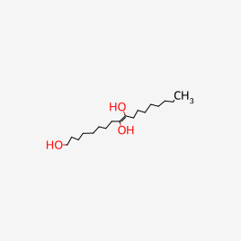 CCCCCCCC/C(O)=C(\O)CCCCCCCCO